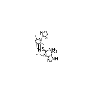 Cc1cc(CNC(C)Cn2c(=S)[nH]c(=O)c3[nH]cnc32)c(C)n1-c1nccs1